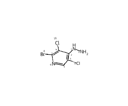 NNc1c(Cl)cnc(Br)c1Cl